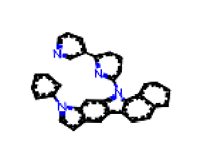 c1ccc(-n2ccc3cc4c5ccc6ccccc6c5n(-c5cccc(-c6cccnc6)n5)c4cc32)cc1